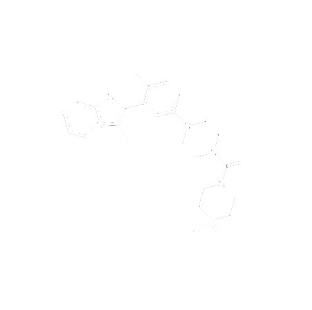 Cc1c(-c2cc(N3CCN(C(=O)N4CCS(=O)(=O)CC4)CC3)ccc2Cl)nc2ccccn12